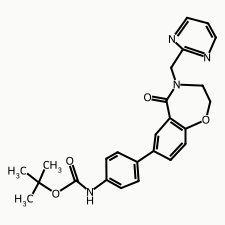 CC(C)(C)OC(=O)Nc1ccc(-c2ccc3c(c2)C(=O)N(Cc2ncccn2)CCO3)cc1